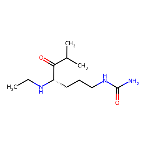 CCN[C@@H](CCCNC(N)=O)C(=O)C(C)C